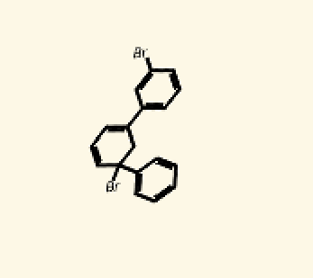 Brc1cccc(C2=CC=CC(Br)(c3ccccc3)C2)c1